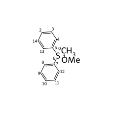 COC.c1ccc(Sc2ccccc2)cc1